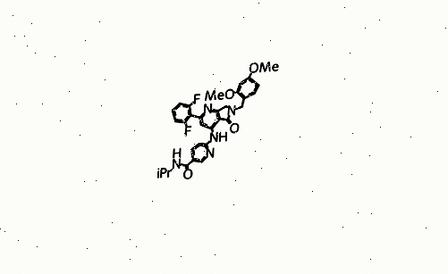 COc1ccc(CN2Cc3nc(-c4c(F)cccc4F)cc(Nc4ccc(C(=O)NC(C)C)cn4)c3C2=O)c(OC)c1